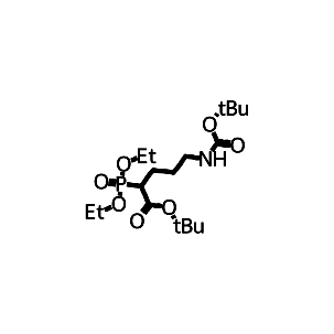 CCOP(=O)(OCC)C(CCCNC(=O)OC(C)(C)C)C(=O)OC(C)(C)C